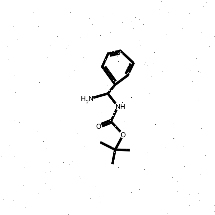 CC(C)(C)OC(=O)NC(N)c1ccccc1